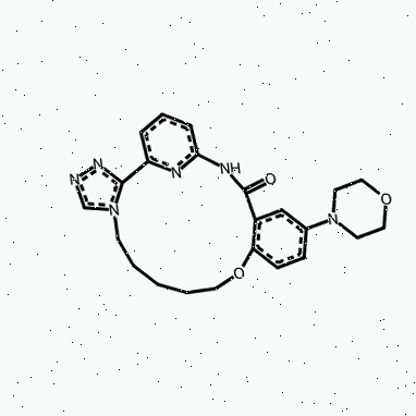 O=C1Nc2cccc(n2)-c2nncn2CCCCCOc2ccc(N3CCOCC3)cc21